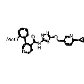 COc1ccccc1-c1cnccc1C(=O)Nc1nnc(OCc2ccc(C3CC3)nc2)s1